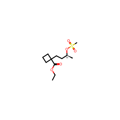 CCOC(=O)C1(CC[C@H](C)OS(C)(=O)=O)CCC1